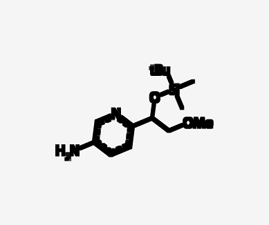 COCC(O[Si](C)(C)C(C)(C)C)c1ccc(N)cn1